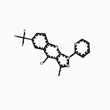 Cc1nn(-c2ccccn2)c2nc3ccc(C(F)(F)F)cc3c(Cl)c12